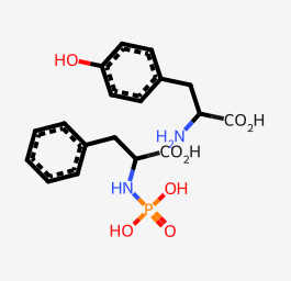 NC(Cc1ccc(O)cc1)C(=O)O.O=C(O)C(Cc1ccccc1)NP(=O)(O)O